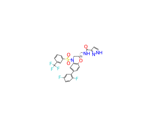 O=C(NC[C@H]1CN(S(=O)(=O)c2cccc(C(F)(F)F)c2)c2cc(-c3cc(F)ccc3F)ccc2O1)c1cc[nH]n1